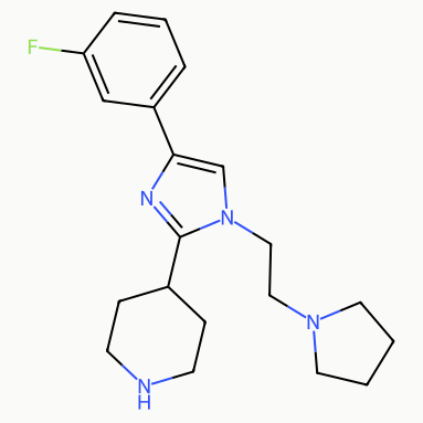 Fc1cccc(-c2cn(CCN3CCCC3)c(C3CCNCC3)n2)c1